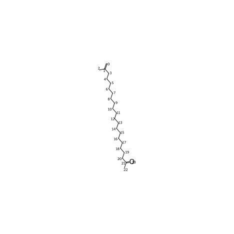 C=C(C)CCCCCCCCCCCCCCCCCCC(C)=O